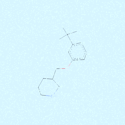 CC(C)(C)c1cccc(OCC2CCCNC2)c1